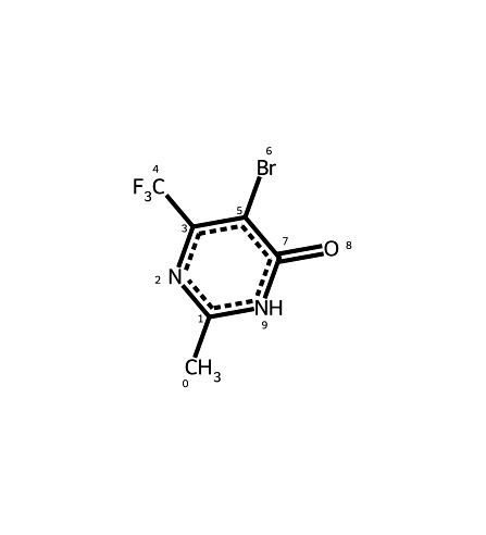 Cc1nc(C(F)(F)F)c(Br)c(=O)[nH]1